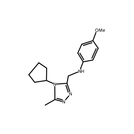 COc1ccc(NCc2nnc(C)n2C2CCCC2)cc1